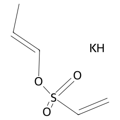 C=CS(=O)(=O)OC=CC.[KH]